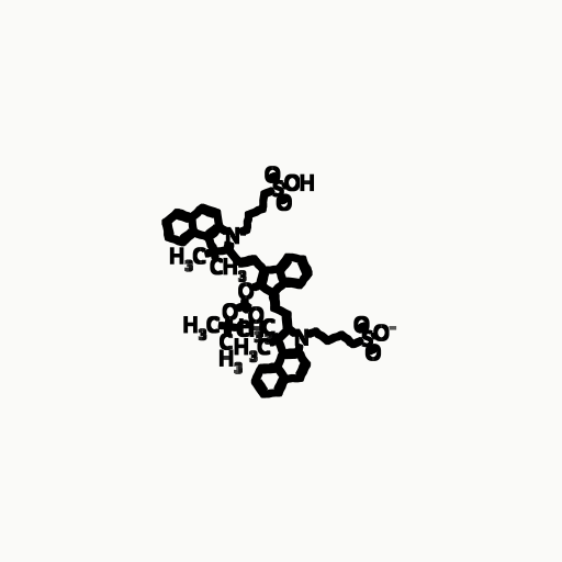 CC(C)(C)OC(=O)OC1=C(/C=C/C2=[N+](CCCCS(=O)(=O)O)c3ccc4ccccc4c3C2(C)C)c2ccccc2/C1=C\C=C1\N(CCCCS(=O)(=O)[O-])c2ccc3ccccc3c2C1(C)C